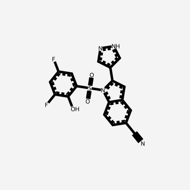 N#Cc1ccc2c(c1)cc(-c1cn[nH]c1)n2S(=O)(=O)c1cc(F)cc(F)c1O